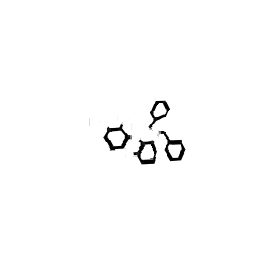 Cc1cccc(Pc2c(C)cccc2N(Cc2ccccc2)Cc2ccccc2)c1O